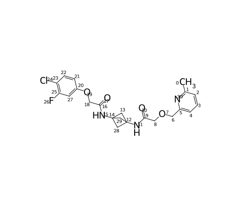 Cc1cccc(COCC(=O)NC23CC(NC(=O)COc4ccc(Cl)c(F)c4)(C2)C3)n1